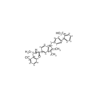 Cc1c(C)n(Cc2ccc(-c3ccccc3C(=O)O)cc2)c2ccc(C(=O)N[C@@H](C)c3ccccc3Cl)cc12